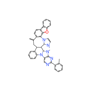 C=C1CC2c3ccccc3N3c4cnc(-c5ccccc5C)nc4N(C)C3C2C2N(C)C=CN2c2c1ccc1c2oc2ccccc21